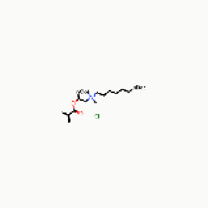 C=C(C)C(=O)OC(CCCCCCCC)C[N+](C)(C)CCCCCCCCCCCCCCCC.[Cl-]